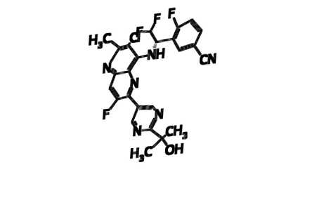 Cc1nc2cc(F)c(-c3cnc(C(C)(C)O)nc3)nc2c(N[C@@H](c2cc(C#N)ccc2F)C(F)F)c1Cl